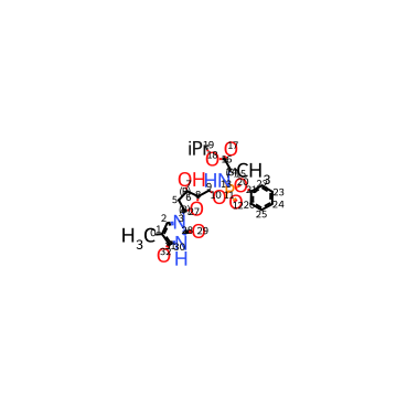 Cc1cn([C@H]2C[C@@H](O)C(COP(=O)(N[C@@H](C)C(=O)OC(C)C)Oc3ccccc3)O2)c(=O)[nH]c1=O